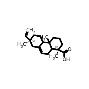 C=C[C@@]1(C)CCC2C(=CCC3C2(C)CCC[C@@]3(C)C(=O)O)C1